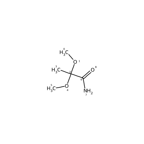 COC(C)(OC)C(N)=O